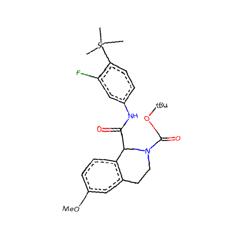 COc1ccc2c(c1)CCN(C(=O)OC(C)(C)C)C2C(=O)Nc1ccc([Si](C)(C)C)c(F)c1